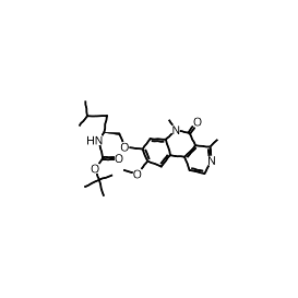 COc1cc2c3ccnc(C)c3c(=O)n(C)c2cc1OC[C@H](CC(C)C)NC(=O)OC(C)(C)C